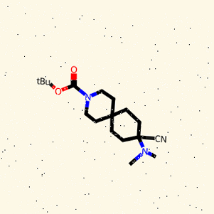 CN(C)C1(C#N)CCC2(CCN(C(=O)OC(C)(C)C)CC2)CC1